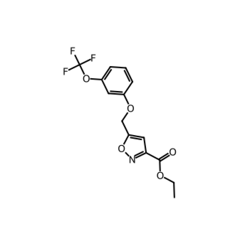 CCOC(=O)c1cc(COc2cccc(OC(F)(F)F)c2)on1